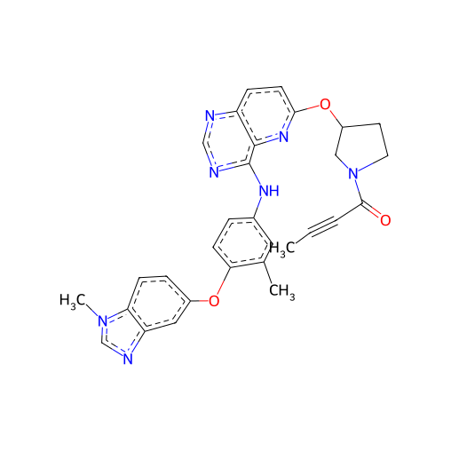 CC#CC(=O)N1CCC(Oc2ccc3ncnc(Nc4ccc(Oc5ccc6c(c5)ncn6C)c(C)c4)c3n2)C1